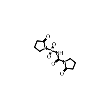 O=C1CCCN1C(=O)NS(=O)(=O)N1CCCC1=O